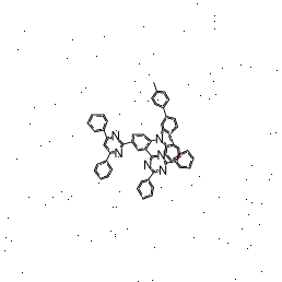 Cc1ccc(-c2ccc3c4ccccc4n(-c4ccc(-c5nc(-c6ccccc6)cc(-c6ccccc6)n5)cc4-c4nc(-c5ccccc5)nc(-c5ccccc5)n4)c3c2)cc1